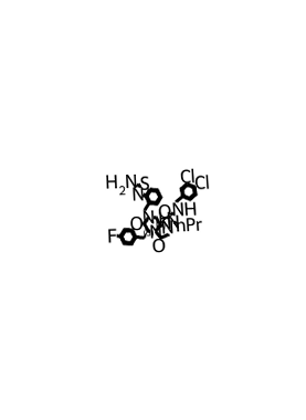 CCCN(C(=O)NCc1ccc(Cl)c(Cl)c1)N1CC(=O)N2[C@@H](Cc3ccc(F)cc3)C(=O)N(Cc3cccc4sc(N)nc34)C[C@@H]21